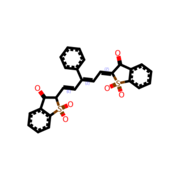 O=C1/C(=C/C=C(/C=C/C2C(=O)c3ccccc3S2(=O)=O)c2ccccc2)S(=O)(=O)c2ccccc21